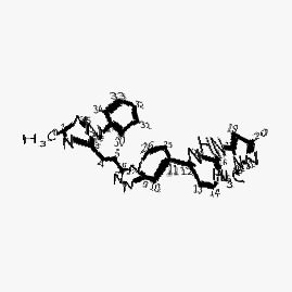 Cc1nc(CCc2nnc3cc(-c4ccnc(Nc5ccnn5C)n4)ccn23)n(-c2ccccc2)n1